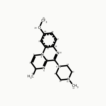 CC1C=CN2C(=N1)C(N1CCN(C)CC1)=Nc1ccc(OC(F)(F)F)cc12